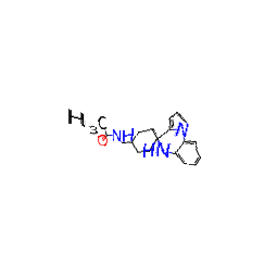 CC(=O)NCC1CCC2(CC1)Nc1ccccc1-n1cccc12